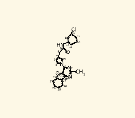 Cc1nc(-n2ccc(CC(=O)Nc3cccc(Cl)c3)c2)c2oc3ccccc3c2n1